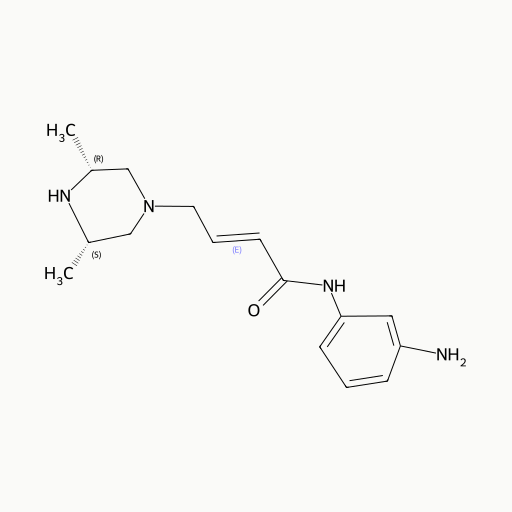 C[C@@H]1CN(C/C=C/C(=O)Nc2cccc(N)c2)C[C@H](C)N1